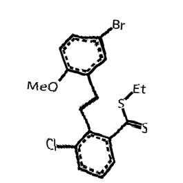 CCSC(=S)c1cccc(Cl)c1CCc1cc(Br)ccc1OC